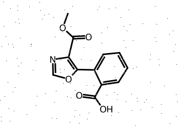 COC(=O)c1ncoc1-c1ccccc1C(=O)O